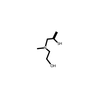 C=C(S)CN(C)CCO